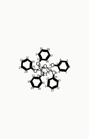 CC[Si](Oc1ccccc1)(Oc1ccccc1)O[Si](Oc1ccccc1)(Oc1ccccc1)Oc1ccccc1